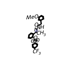 COc1cccc(CC(=O)N/N=C(\C)c2ccccc2OS(=O)(=O)c2ccc(C(F)(F)F)cc2)c1